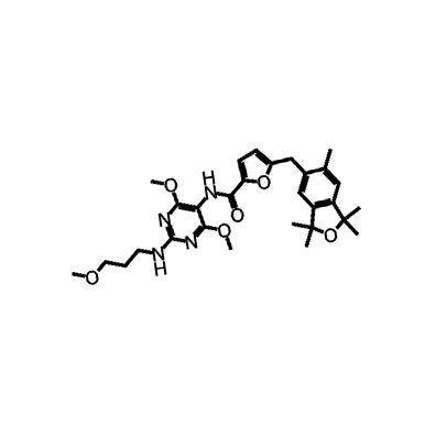 COCCCNc1nc(OC)c(NC(=O)c2ccc(Cc3cc4c(cc3C)C(C)(C)OC4(C)C)o2)c(OC)n1